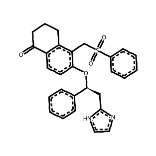 O=C1CCCc2c1ccc(O[C@@H](Cc1ncc[nH]1)c1ccccc1)c2CS(=O)(=O)c1ccccc1